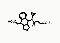 CCOC(=O)CCC(=O)N(C1CC1)C1c2ccccc2N(CC(=O)O)C2CCCC21